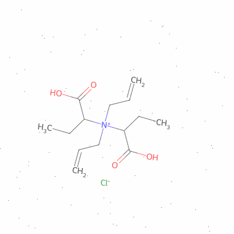 C=CC[N+](CC=C)(C(CC)C(=O)O)C(CC)C(=O)O.[Cl-]